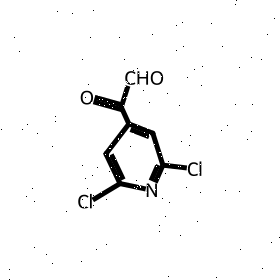 O=CC(=O)c1cc(Cl)nc(Cl)c1